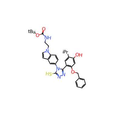 CC(C)c1cc(-c2nnc(S)n2-c2ccc3c(ccn3CCNC(=O)OC(C)(C)C)c2)c(OCc2ccccc2)cc1O